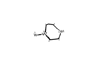 [W][W]1[CH2]CNC[CH2]1